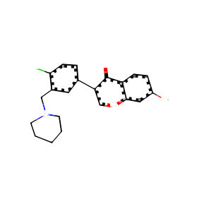 O=c1c(-c2ccc(Cl)c(CN3CCCCC3)c2)coc2cc(O)ccc12